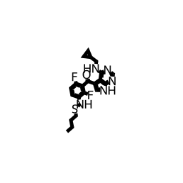 CCCCSNc1ccc(F)c(C(=O)c2c[nH]c3ncnc(NCC4CC4)c23)c1F